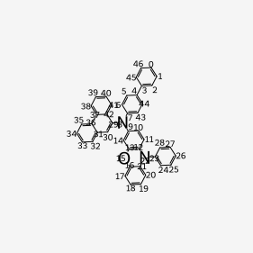 c1ccc(-c2ccc(N(c3ccc4c(c3)Oc3ccccc3N4c3ccccc3)c3cc4ccccc4c4ccccc34)cc2)cc1